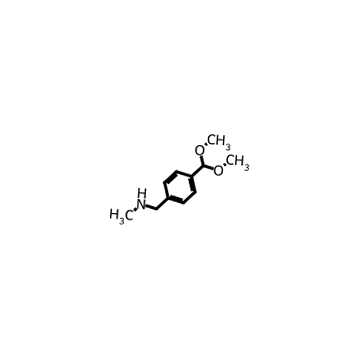 CNCc1ccc(C(OC)OC)cc1